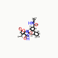 CCc1cc(=O)oc2nc(OCc3ccccc3-c3cccc(C(=O)NC4CC4)c3)[nH]c(=O)c12